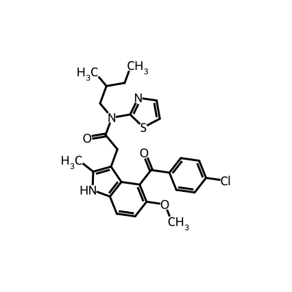 CCC(C)CN(C(=O)Cc1c(C)[nH]c2ccc(OC)c(C(=O)c3ccc(Cl)cc3)c12)c1nccs1